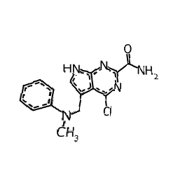 CN(Cc1c[nH]c2nc(C(N)=O)nc(Cl)c12)c1ccccc1